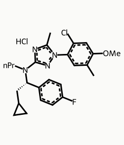 CCCN(c1nc(C)n(-c2cc(C)c(OC)cc2Cl)n1)[C@@H](CC1CC1)c1ccc(F)cc1.Cl